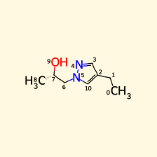 CCc1cnn(C[C@H](C)O)c1